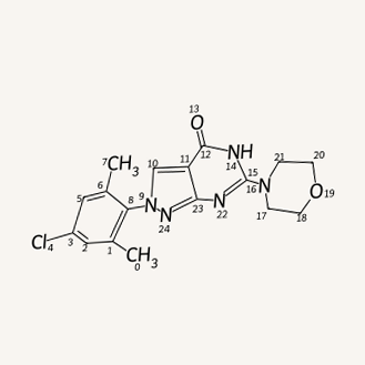 Cc1cc(Cl)cc(C)c1-n1cc2c(=O)[nH]c(N3CCOCC3)nc2n1